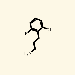 NCCCc1c(F)cccc1Cl